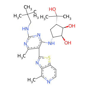 Cc1nc(NCC(C)(C)C)nc(N[C@@H]2C[C@H](C(C)(C)O)[C@@H](O)[C@H]2O)c1-c1nc2c(C)nccc2s1